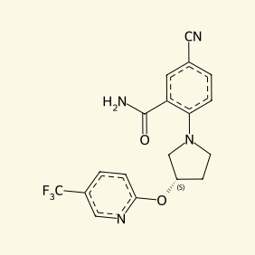 N#Cc1ccc(N2CC[C@H](Oc3ccc(C(F)(F)F)cn3)C2)c(C(N)=O)c1